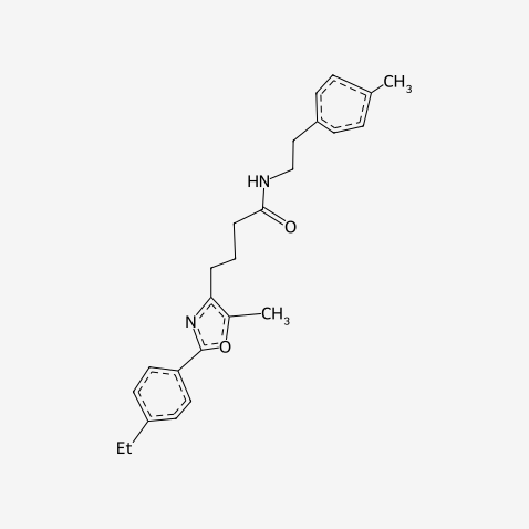 CCc1ccc(-c2nc(CCCC(=O)NCCc3ccc(C)cc3)c(C)o2)cc1